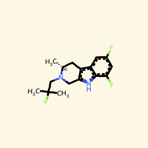 C[C@@H]1Cc2c([nH]c3c(F)cc(F)cc23)CN1CC(C)(C)F